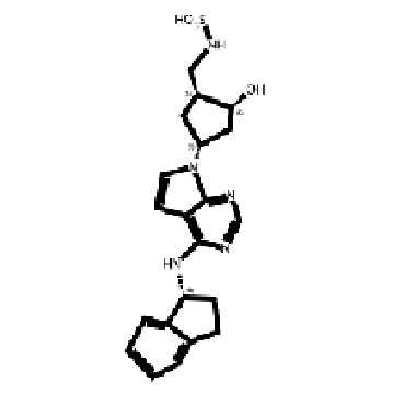 O=S(=O)(O)NC[C@@H]1C[C@@H](n2ccc3c(N[C@@H]4CCc5ccccc54)ncnc32)C[C@@H]1O